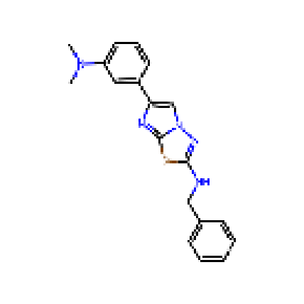 CN(C)c1cccc(-c2cn3nc(NCc4ccccc4)sc3n2)c1